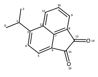 CC(C)c1ccc2c3c(cccc13)C(=O)C2=O